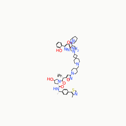 Cc1ncsc1-c1ccc([C@H](C)NC(=O)[C@@H]2C[C@@H](O)CN2C(=O)[C@@H](c2cc(N3CCC(CN4CCC5(CC4)CC(N4CCC(C(=O)N6C7CCC6CN(c6cc(-c8ccccc8O)nnc6N)C7)CC4)C5)CC3)no2)C(C)C)cc1